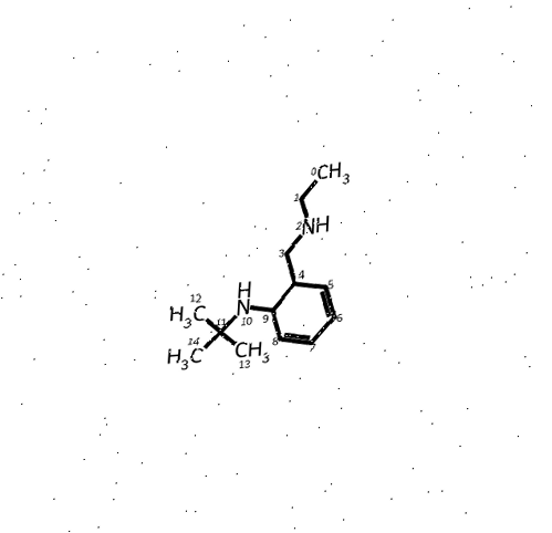 CCNCC1C=CC=CC1NC(C)(C)C